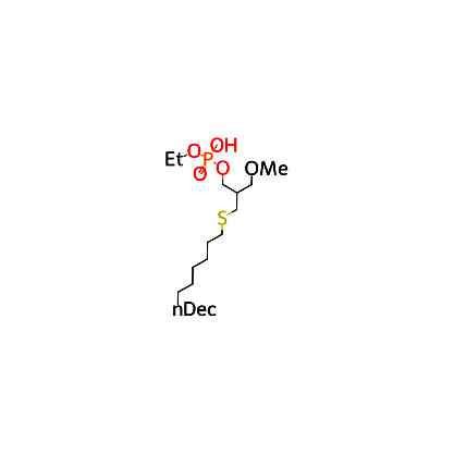 CCCCCCCCCCCCCCCCSCC(COC)COP(=O)(O)OCC